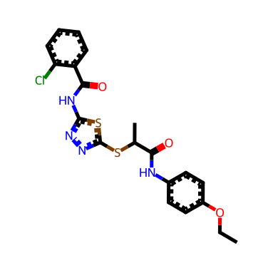 CCOc1ccc(NC(=O)C(C)Sc2nnc(NC(=O)c3ccccc3Cl)s2)cc1